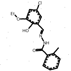 CCOc1cc(Cl)cc(/C=N/NC(=O)c2ccccc2C)c1O